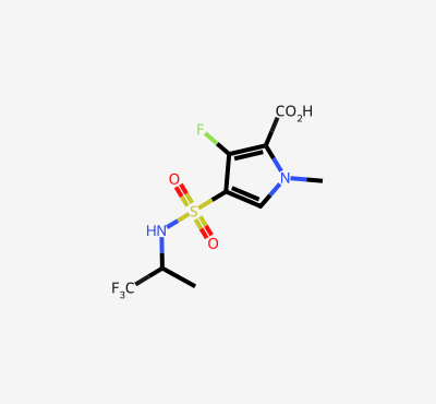 CC(NS(=O)(=O)c1cn(C)c(C(=O)O)c1F)C(F)(F)F